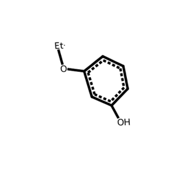 C[CH]Oc1cccc(O)c1